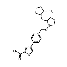 CC1CCCN1CC1CCCN1OCc1ccc(-c2csc(C(N)=O)c2)cc1